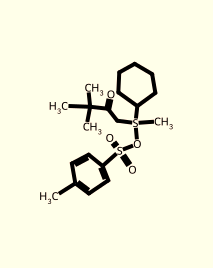 Cc1ccc(S(=O)(=O)OS(C)(CC(=O)C(C)(C)C)C2CCCCC2)cc1